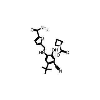 CC(C)(C)c1cc(NCc2ccc(C(N)=O)o2)c(O)cc1C#N.O=C(O)N1CCC1